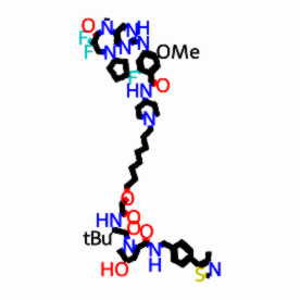 COc1cc(C(=O)NC2CCN(CCCCCCCCOCC(=O)N[C@H](C(=O)N3CC(O)CC3C(=O)NCc3ccc(-c4scnc4C)cc3)C(C)(C)C)CC2)c(F)cc1Nc1ncc2c(n1)N(C1CCCC1)CC(F)(F)C(=O)N2C